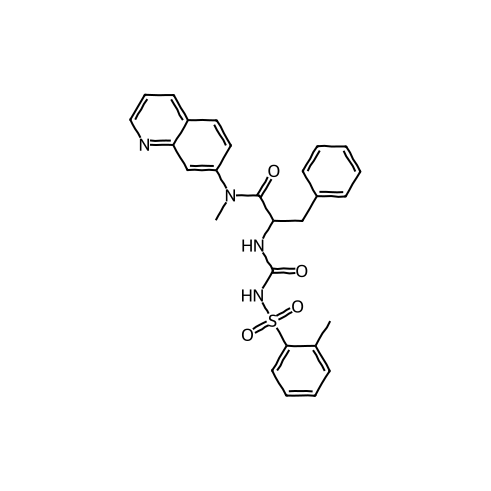 Cc1ccccc1S(=O)(=O)NC(=O)NC(Cc1ccccc1)C(=O)N(C)c1ccc2cccnc2c1